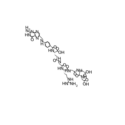 N=C(N)NCCC[C@H](NC(=O)CNC(=O)CC[C@H](NC(=O)c1ccc(NCc2cnc3nc(N)[nH]c(=O)c3n2)cc1)C(=O)O)C(=O)NCC(=O)NC(CC(=O)O)C(=O)NCC(=O)O